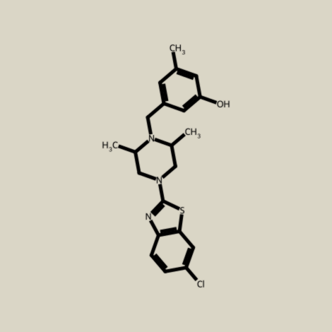 Cc1cc(O)cc(CN2C(C)CN(c3nc4ccc(Cl)cc4s3)CC2C)c1